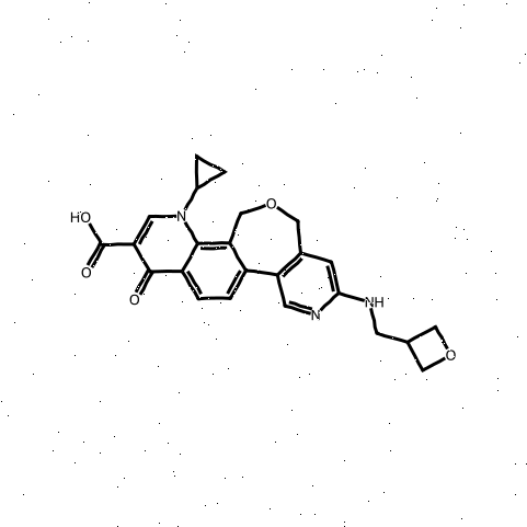 O=C(O)c1cn(C2CC2)c2c3c(ccc2c1=O)-c1cnc(NCC2COC2)cc1COC3